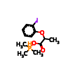 CC(Oc1ccccc1I)C(=O)O[PH](C)(C)C